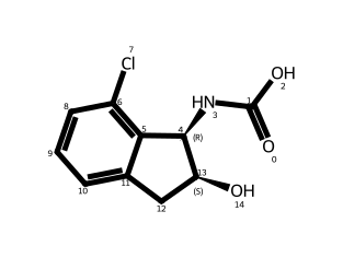 O=C(O)N[C@@H]1c2c(Cl)cccc2C[C@@H]1O